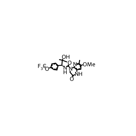 COc1cc2c(nc1C)N(C(=O)N[C@@H](c1ccc(OC(F)(F)F)cc1)C(C)(C)O)CC(=O)N2